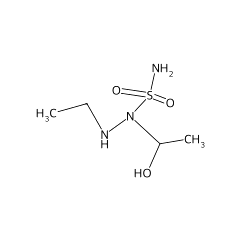 CCNN(C(C)O)S(N)(=O)=O